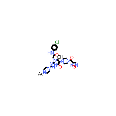 CC(=O)N1CCN(c2nc3n(CC(=O)Nc4ccc(Cl)cc4)c(C)c(N4CCN(C(=O)c5cnon5)CC4)c(=O)n3n2)CC1